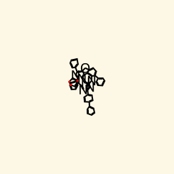 c1ccc(-c2ccc(-c3nc(-c4ccccc4)nc(-n4c5ccccc5c5ccc6oc7c(-c8ccccc8)nc(-c8ccccc8)nc7c6c54)n3)cc2)cc1